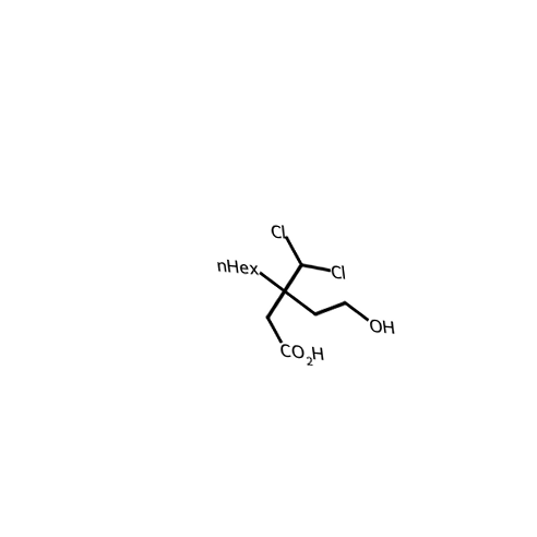 CCCCCCC(CCO)(CC(=O)O)C(Cl)Cl